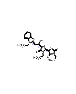 CC(C)C(/C=C1\Sc2ccccc2N1CC(=O)O)=c1\s/c(=C2\SC(=S)N(CC(=O)O)C2=O)n(CC(=O)O)c1=O